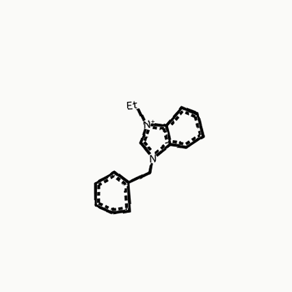 CC[n+]1cn(Cc2ccccc2)c2ccccc21